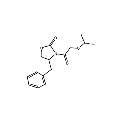 CC(C)OCC(=O)N1C(=O)OCC1Cc1ccccc1